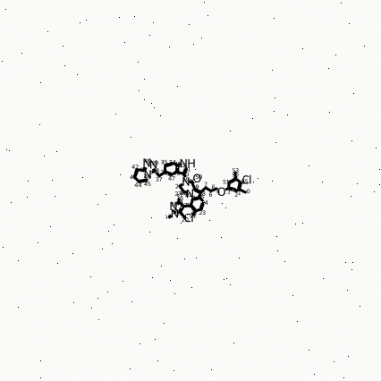 Cc1cc(OCCCc2c3n(c4c(-c5c(C)nn(C)c5C)c(Cl)ccc24)[C@H](C)CN(c2c[nH]c4ccc(Cc5nnc6ccccn56)cc24)C3=O)cc(C)c1Cl